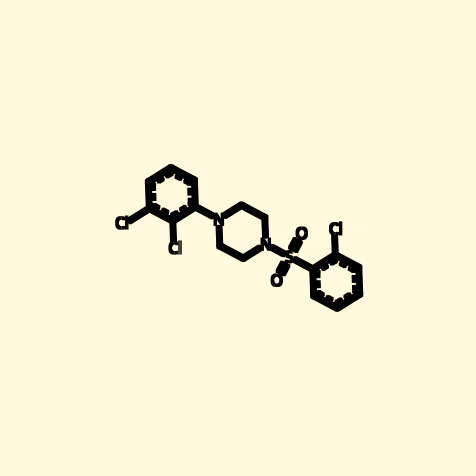 O=S(=O)(c1ccccc1Cl)N1CCN(c2cccc(Cl)c2Cl)CC1